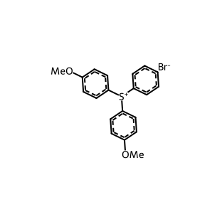 COc1ccc([S+](c2ccccc2)c2ccc(OC)cc2)cc1.[Br-]